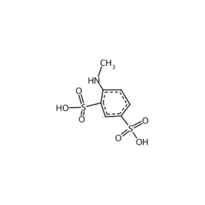 CNc1ccc(S(=O)(=O)O)[c]c1S(=O)(=O)O